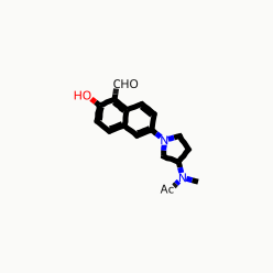 CC(=O)N(C)C1CCN(c2ccc3c(C=O)c(O)ccc3c2)C1